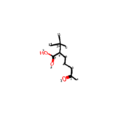 CC(=O)CCCC(C(=O)O)C(C)(C)C